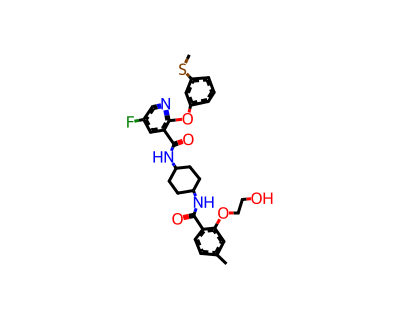 CSc1cccc(Oc2ncc(F)cc2C(=O)NC2CCC(NC(=O)c3ccc(C)cc3OCCO)CC2)c1